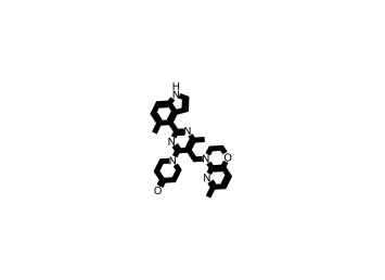 Cc1ccc2c(n1)N(Cc1c(C)nc(-c3c(C)ccc4[nH]ccc34)nc1N1CCC(=O)CC1)CCO2